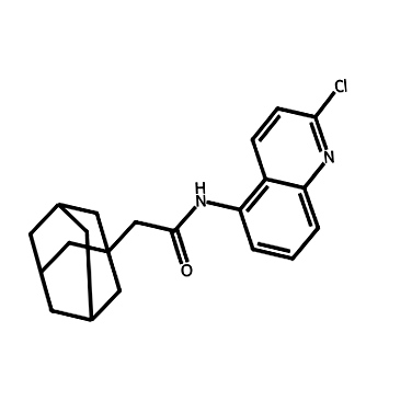 O=C(CC12CC3CC(CC(C3)C1)C2)Nc1cccc2nc(Cl)ccc12